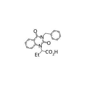 CCC(C(=O)O)n1c(=O)n(Cc2ccccc2)c(=O)c2ccccc21